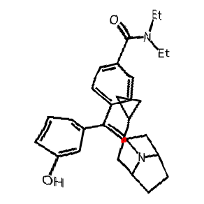 CCN(CC)C(=O)c1ccc(C(=C2CC3CCC(C2)N3CC2CC2)c2cccc(O)c2)cc1